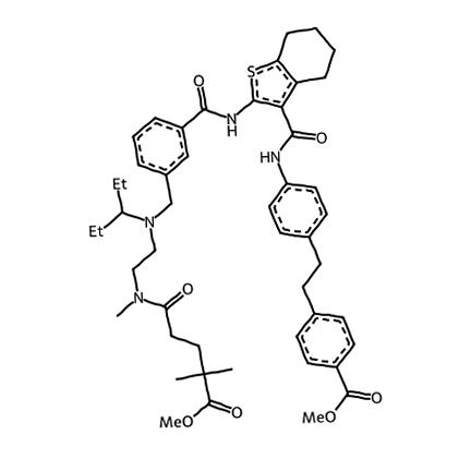 CCC(CC)N(CCN(C)C(=O)CCC(C)(C)C(=O)OC)Cc1cccc(C(=O)Nc2sc3c(c2C(=O)Nc2ccc(CCc4ccc(C(=O)OC)cc4)cc2)CCCC3)c1